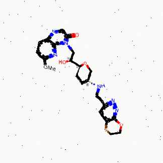 COc1ccc2ncc(=O)n(C[C@H](O)[C@@H]3CC[C@@H](NCc4cc5c(nn4)OCCS5)CO3)c2n1